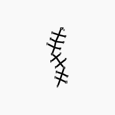 FC(F)(F)C(F)(F)C(F)(F)C(F)(F)OC(F)(F)C(F)(F)OC(F)(F)C(F)(F)Cl